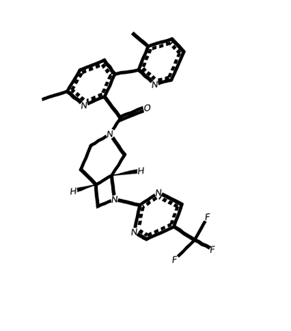 Cc1ccc(-c2ncccc2C)c(C(=O)N2CC[C@H]3CN(c4ncc(C(F)(F)F)cn4)[C@H]3C2)n1